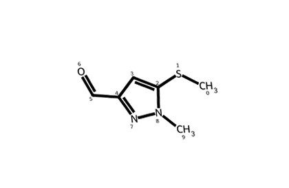 CSc1cc(C=O)nn1C